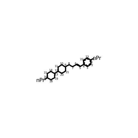 CCCc1ccc(C=CCCC2CCC(C3CCC(CCC)CC3)CC2)cc1